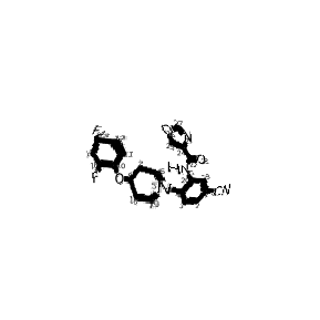 N#Cc1ccc(N2CCC(Oc3ccc(F)cc3F)CC2)c(NC(=O)c2cocn2)c1